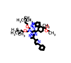 CCOC(=O)C1(C)CCC(c2nc3c(-c4ccc(-c5ccccc5)nc4)cnn3c(N(COCC[Si](C)(C)C)COCC[Si](C)(C)C)c2-n2nnc3ccccc32)CC1